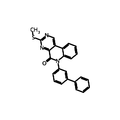 CSc1ncc2c(n1)c(=O)n(-c1cccc(-c3ccccc3)c1)c1ccccc21